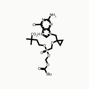 CC(C)(C)C(=O)OCOP(=O)(COC1(Cn2cnc3c(Cl)nc(N)nc32)CC1)OCCC(C)(C)C(=O)O